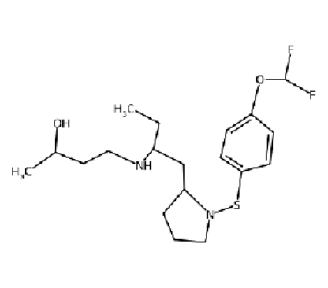 CCC(CC1CCCN1Sc1ccc(OC(F)F)cc1)NCCC(C)O